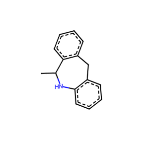 CC1Nc2ccccc2Cc2ccccc21